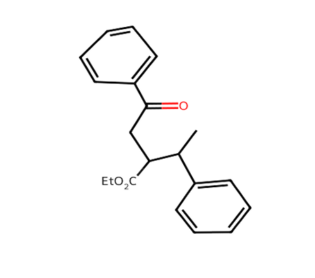 CCOC(=O)C(CC(=O)c1ccccc1)C(C)c1ccccc1